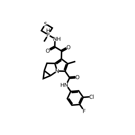 Cc1c(C(=O)C(=O)N[PH]2(C)CSC2)c2n(c1C(=O)Nc1ccc(F)c(Cl)c1)C1CC1C2